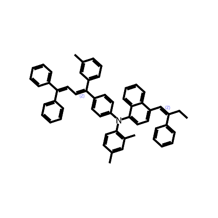 CC/C(=C/c1ccc(N(c2ccc(/C(=C/C=C(c3ccccc3)c3ccccc3)c3cccc(C)c3)cc2)c2ccc(C)cc2C)c2ccccc12)c1ccccc1